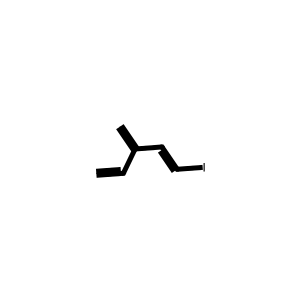 C=CC(=C)/C=C/I